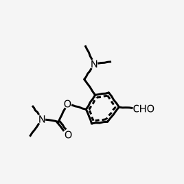 CN(C)Cc1cc(C=O)ccc1OC(=O)N(C)C